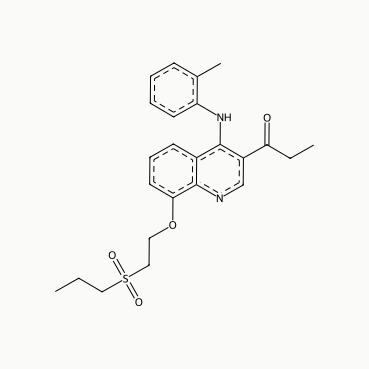 CCCS(=O)(=O)CCOc1cccc2c(Nc3ccccc3C)c(C(=O)CC)cnc12